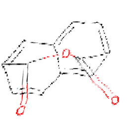 O=C1OC(=O)c2ccc3cc1ccc3c2